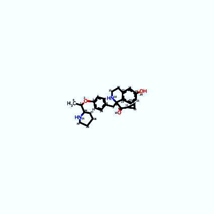 CC(Oc1ccc(CC2(C(=O)C3CC3)NCCc3cc(O)ccc32)cc1)C1CCCCN1